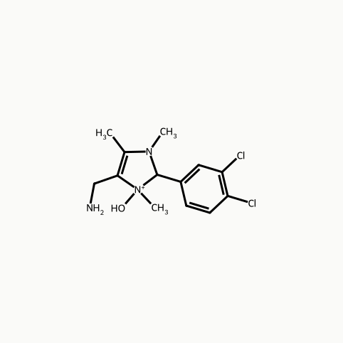 CC1=C(CN)[N+](C)(O)C(c2ccc(Cl)c(Cl)c2)N1C